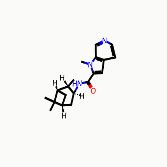 C[C@@H]1[C@@H](NC(=O)c2cc3ccncc3n2C)C[C@H]2C[C@@H]1C2(C)C